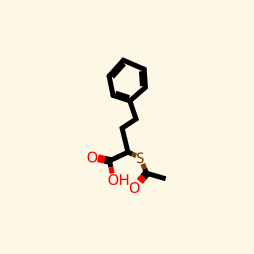 CC(=O)SC(CCc1ccccc1)C(=O)O